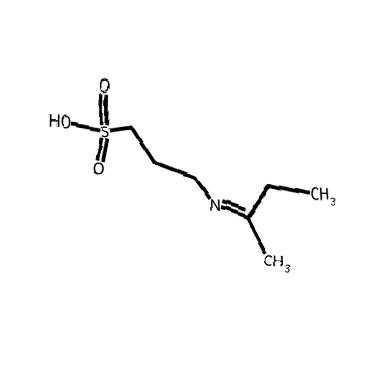 CC/C(C)=N\CCCS(=O)(=O)O